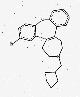 Brc1ccc2c(c1)C1=C(CCN(CC3CCCC3)CC1)c1ccccc1O2